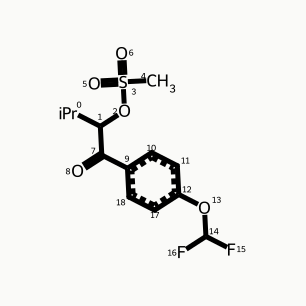 CC(C)C(OS(C)(=O)=O)C(=O)c1ccc(OC(F)F)cc1